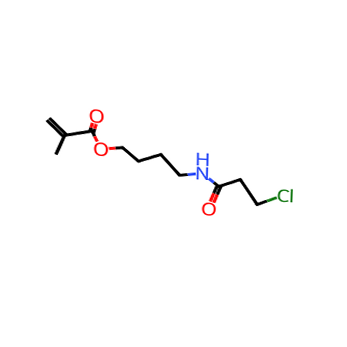 C=C(C)C(=O)OCCCCNC(=O)CCCl